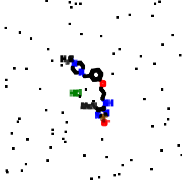 CNc1n[s+]([O-])nc1NCCCOc1cccc(CN2CCN(C)CC2)c1.Cl